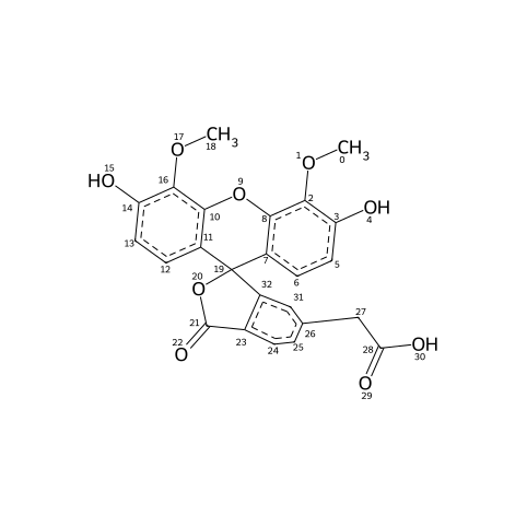 COc1c(O)ccc2c1Oc1c(ccc(O)c1OC)C21OC(=O)c2ccc(CC(=O)O)cc21